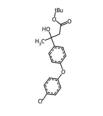 CC(C)(C)OC(=O)CC(C)(O)c1ccc(Oc2ccc(Cl)cc2)cc1